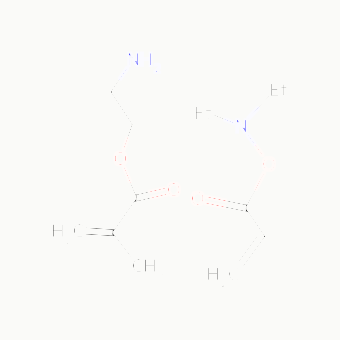 C=C(C)C(=O)OCCN.C=CC(=O)ON(CC)CC